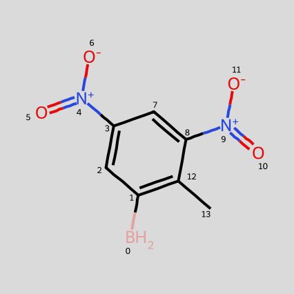 Bc1cc([N+](=O)[O-])cc([N+](=O)[O-])c1C